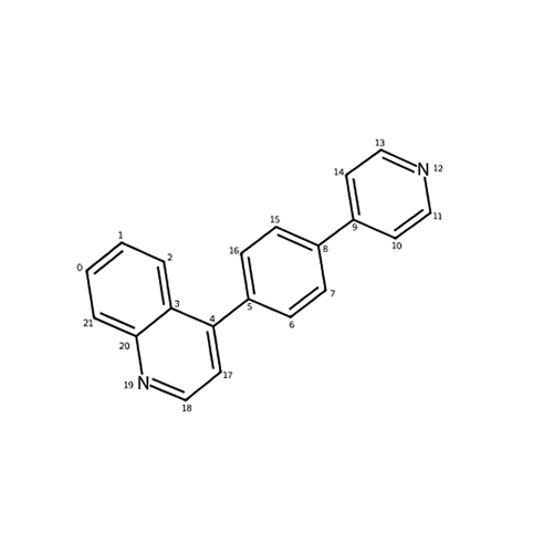 c1ccc2c(-c3ccc(-c4ccncc4)cc3)ccnc2c1